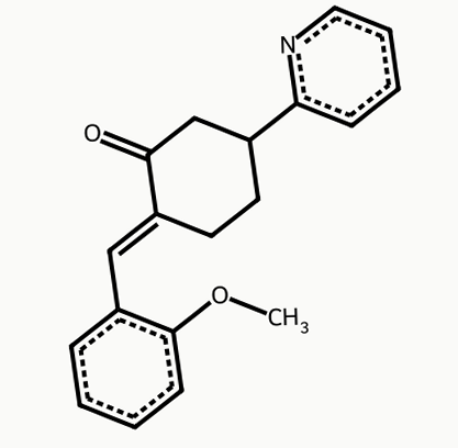 COc1ccccc1C=C1CCC(c2ccccn2)CC1=O